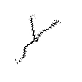 CCCCCCCCCCCCCCCCC1N(CCCCCCCCCCCCC)C=CN1CCCCCCCCCCCCCCC